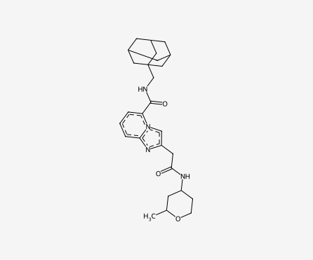 CC1CC(NC(=O)Cc2cn3c(C(=O)NCC45CC6CC(CC(C6)C4)C5)cccc3n2)CCO1